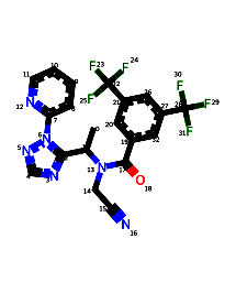 CC(c1ncnn1-c1ccccn1)N(CC#N)C(=O)c1cc(C(F)(F)F)cc(C(F)(F)F)c1